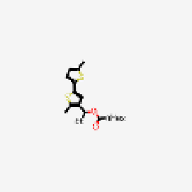 CCCCCCC(=O)OC(CC)c1cc(-c2ccc(C)s2)sc1C